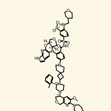 COc1cc2c(nc1N1CCOCC1)COC[C@H]2N1CCN(C2CC3(CCN(c4ccc(C(=O)NS(=O)(=O)c5ccc(NCC6CCOCC6)c([N+](=O)[O-])c5)c(N5c6cc7cc[nH]c7nc6O[C@H]6COCC[C@@H]65)c4)CC3)C2)[C@H](c2ccccc2C)C1